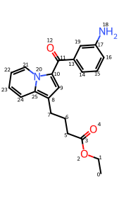 CCOC(=O)CCCc1cc(C(=O)c2cccc(N)c2)n2ccccc12